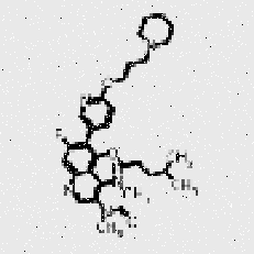 CNc1c(N(C)C=O)cnc2cc(F)c(-c3ccc(OCCCN4CCCCC4)nc3)c(OCCCC(C)C)c12